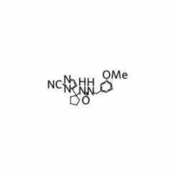 COc1cccc(CNC(=O)NC2(c3ccnc(C#N)n3)CCCC2)c1